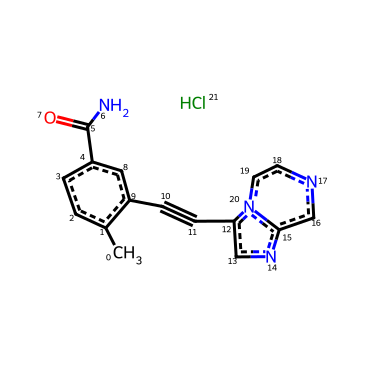 Cc1ccc(C(N)=O)cc1C#Cc1cnc2cnccn12.Cl